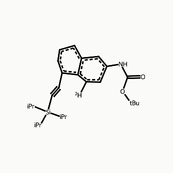 [2H]c1cc(NC(=O)OC(C)(C)C)cc2cccc(C#C[Si](C(C)C)(C(C)C)C(C)C)c12